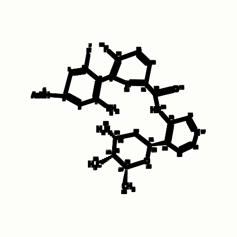 Bc1cc(NC(C)=O)cc(F)c1-c1nc(C(=O)Nc2cnccc2[C@H]2C[C@@H](N)[C@@H](C)[C@@H](C)O2)ccc1F